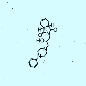 O=C1[C@H]2CC=CC[C@H]2C(=O)N1CC(O)CN1CCN(c2ccccc2)CC1